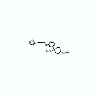 CO[C@H]1CC[C@](OC)(c2cccc(OCC#Cc3ccco3)c2)CC1